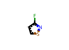 Fc1[c]csn1